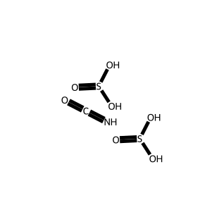 N=C=O.O=S(O)O.O=S(O)O